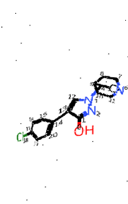 Oc1nn(C2CN3CCC2CC3)cc1-c1ccc(Cl)cc1